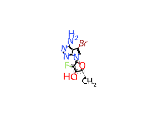 C=C[C@H]1O[C@@H](n2cc(Br)c3c(N)ncnc32)[C@H](F)[C@@H]1O